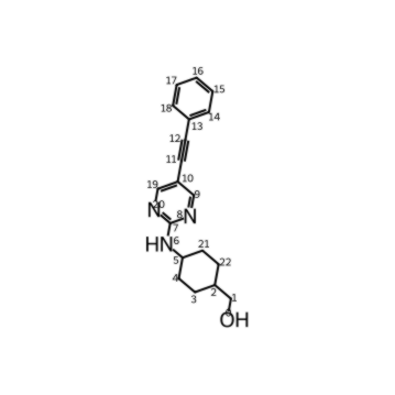 OCC1CCC(Nc2ncc(C#Cc3ccccc3)cn2)CC1